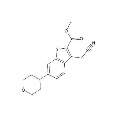 COC(=O)c1sc2cc(C3CCOCC3)ccc2c1CC#N